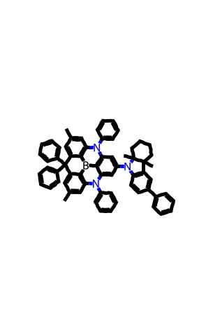 Cc1cc2c3c(c1)C(c1ccccc1)(c1ccccc1)c1cc(C)cc4c1B3c1c(cc(N3c5ccc(-c6ccccc6)cc5C5(C)CCCCC35C)cc1N4c1ccccc1)N2c1ccccc1